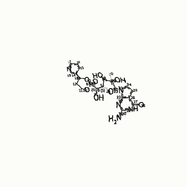 C[C@@]1(O)[C@H](O)[C@@H]([C@@H](O)[P@@]2(=O)OCC[C@@H](c3cccnc3)O2)O[C@H]1n1ccc2c(=O)[nH]c(N)nc21